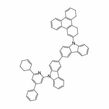 C1=CC(c2cc(-c3ccccc3)cc(-n3c4ccccc4c4cc(-c5ccc6c(c5)c5ccccc5n6C5=Cc6c(c7c(c8ccccc68)C=CCC7)CC5)ccc43)n2)CCC1